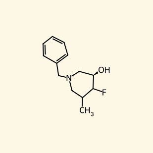 CC1CN(Cc2ccccc2)C[C@@H](O)C1F